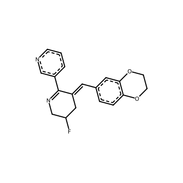 FC1CN=C(c2cccnc2)C(=Cc2ccc3c(c2)OCCO3)C1